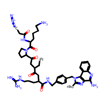 CCCCc1nc2c(N)nc3ccccc3c2n1Cc1ccc(CNC(=O)C(CCCNC(=N)N)CC(=O)C(CC(=O)C2CCCN2C(=O)C(CCCCN)NC(=O)CCN=[N+]=[N-])CC(C)C)cc1